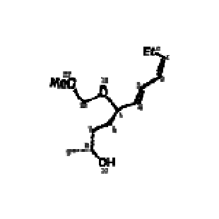 CC/C=C\C=C\[C@@H](CC[C@@H](C)O)OCOC